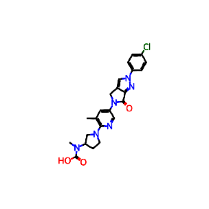 Cc1cc(N2Cc3cn(-c4ccc(Cl)cc4)nc3C2=O)cnc1N1CCC(N(C)C(=O)O)C1